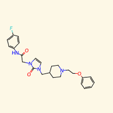 O=C(Cn1ccn(CC2CCN(CCOc3ccccc3)CC2)c1=O)Nc1ccc(F)cc1